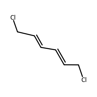 ClC/C=C/C=C/CCl